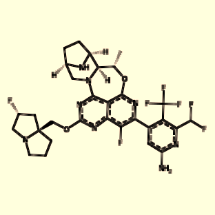 C[C@@H]1Oc2nc(-c3cc(N)nc(C(F)F)c3C(F)(F)F)c(F)c3nc(OC[C@@]45CCCN4C[C@H](F)C5)nc(c23)N2C[C@H]3CC[C@H](N3)[C@@H]12